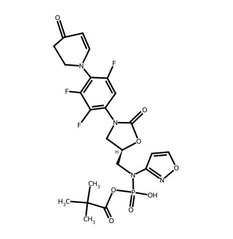 CC(C)(C)C(=O)OP(=O)(O)N(C[C@H]1CN(c2cc(F)c(N3C=CC(=O)CC3)c(F)c2F)C(=O)O1)c1ccon1